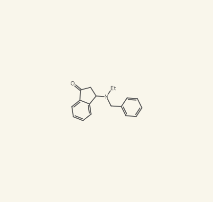 CCN(Cc1ccccc1)C1CC(=O)c2ccccc21